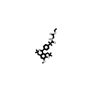 CCOC(=O)CNC(=O)C(C)(C)c1ccc(C2=NC(C)(C)Cc3cc(OC)c4c(c32)CC(C)(C)O4)cc1